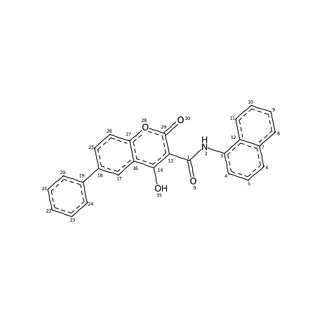 O=C(Nc1cccc2ccccc12)c1c(O)c2cc(-c3ccccc3)ccc2oc1=O